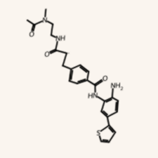 CC(=O)N(C)CCNC(=O)[CH]Cc1ccc(C(=O)Nc2cc(-c3cccs3)ccc2N)cc1